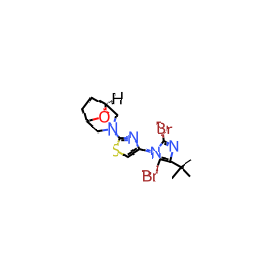 CC(C)(C)c1nc(Br)n(-c2csc(N3CC4CC[C@@H](C3)O4)n2)c1Br